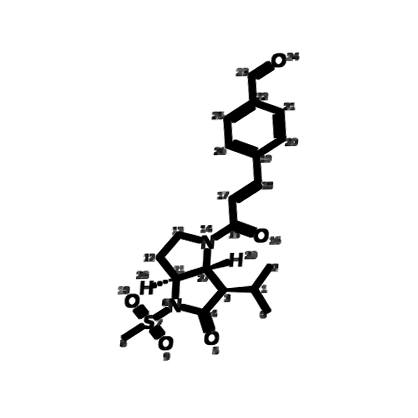 CC(C)[C@H]1C(=O)N(S(C)(=O)=O)[C@H]2CCN(C(=O)/C=C/c3ccc(C=O)cc3)[C@H]12